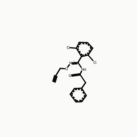 C#CCO/N=C(\NC(=O)Cc1ccccc1)c1c(Cl)cccc1Cl